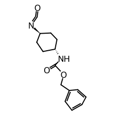 O=C=N[C@H]1CC[C@H](NC(=O)OCc2ccccc2)CC1